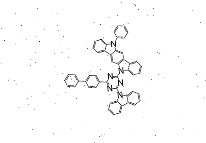 c1ccc(-c2ccc(-c3nc(-n4c5ccccc5c5ccccc54)nc(-n4c5ccccc5c5cc6c(cc54)c4ccccc4n6-c4ccccc4)n3)cc2)cc1